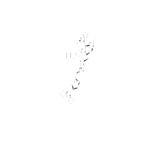 Cn1c(/C=N/N=C/c2ccc([N+](=O)[O-])o2)cnc1[N+](=O)[O-]